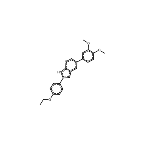 CCOc1ccc(-c2cc3cc(-c4ccc(OC)c(OC)c4)cnc3[nH]2)cc1